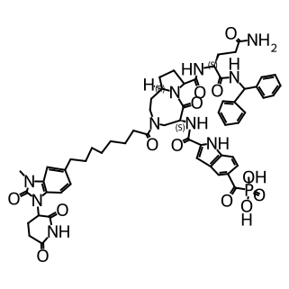 Cn1c(=O)n(C2CCC(=O)NC2=O)c2ccc(CCCCCCCC(=O)N3CC[C@H]4CCC(C(=O)N[C@@H](CCC(N)=O)C(=O)NC(c5ccccc5)c5ccccc5)N4C(=O)[C@@H](NC(=O)c4cc5cc(C(=O)P(=O)(O)O)ccc5[nH]4)C3)cc21